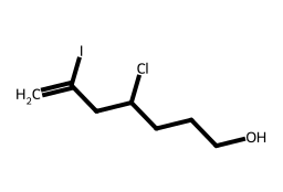 C=C(I)CC(Cl)CCCO